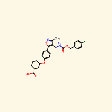 Cc1noc(-c2ccc(O[C@@H]3CCC[C@@H](C(=O)O)C3)cc2)c1CNC(=O)OCc1ccc(F)cc1